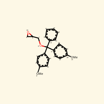 COc1ccc(C(OCC2CO2)(c2ccccc2)c2ccc(OC)cc2)cc1